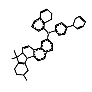 CC1CCC2=C(C1)C1c3ccc4ccc(N(c5ccc(C6C=CC=CC6)cc5)c5cccc6c5CCC=C6)cc4c3C=CC1C2(C)C